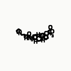 C[C@]12CC[C@H](NC(=O)OCCN3CCCC3)C[C@H]1CC[C@@H]1[C@@H]2CC[C@]2(C)[C@@H](C3=CC(=O)OC3)CC[C@]12O